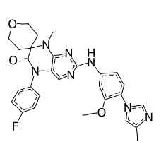 COc1cc(Nc2ncc3c(n2)N(C)C2(CCOCC2)C(=O)N3c2ccc(F)cc2)ccc1-n1cnc(C)c1